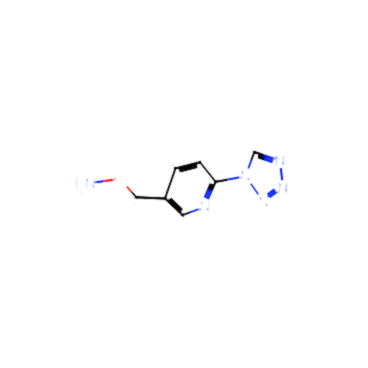 NOCc1ccc(-n2cnnn2)nc1